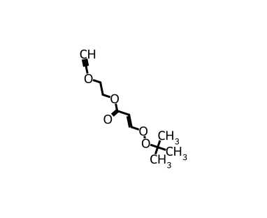 C#COCCOC(=O)C=COOC(C)(C)C